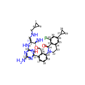 N=C/C(=C\NCC1CC1)Nc1nc(N)nc(-c2cccc(N3CCc4cc(C5CC5)cc(F)c4C3=O)c2CO)n1